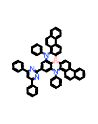 c1ccc(-c2cc(-c3ccccc3)nc(-c3cc4c5c(c3)N(c3ccccc3)c3c(ccc6c3ccc3ccccc36)B5c3ccc5c(ccc6ccccc65)c3N4c3ccccc3)n2)cc1